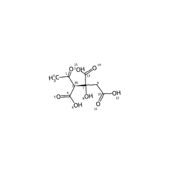 CC(=O)[C@H](C(=O)O)C(O)(CC(=O)O)C(=O)O